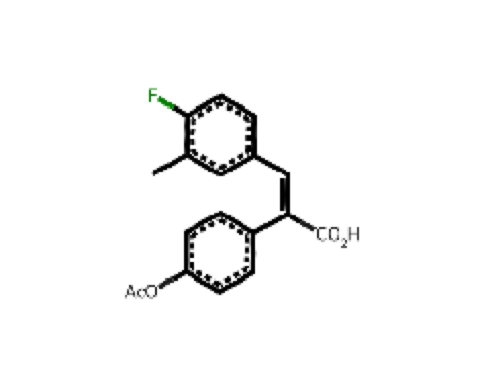 CC(=O)Oc1ccc(/C(=C\c2ccc(F)c(C)c2)C(=O)O)cc1